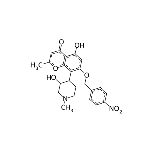 Cc1cc(=O)c2c(O)cc(OCc3ccc([N+](=O)[O-])cc3)c(C3CCN(C)CC3O)c2o1